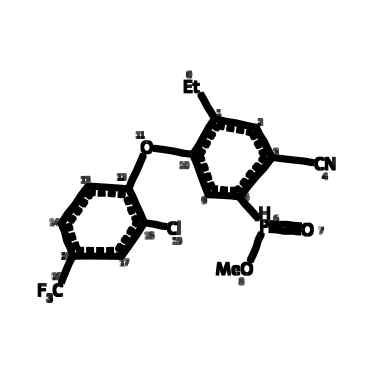 CCc1cc(C#N)c([PH](=O)OC)cc1Oc1ccc(C(F)(F)F)cc1Cl